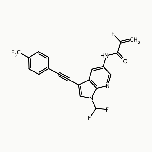 C=C(F)C(=O)Nc1cnc2c(c1)c(C#Cc1ccc(C(F)(F)F)cc1)cn2C(F)F